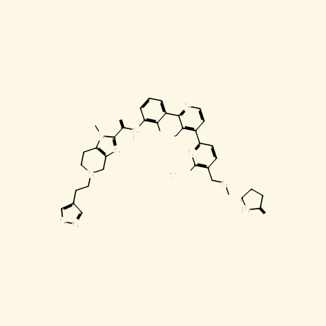 COc1nc(-c2ccnc(-c3cccc(NC(=O)c4nc5c(n4C)CCN(CCc4cn[nH]c4)C5)c3Cl)c2Cl)ccc1CNC[C@@H]1CCC(=O)N1